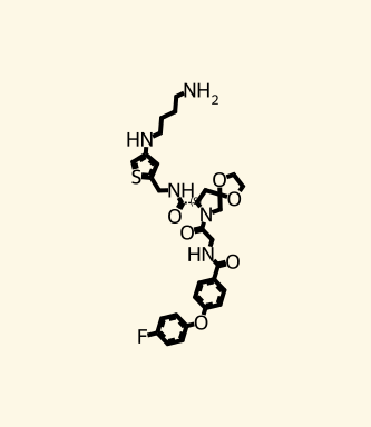 NCCCCNc1csc(CNC(=O)[C@@H]2CC3(CN2C(=O)CNC(=O)c2ccc(Oc4ccc(F)cc4)cc2)OCCO3)c1